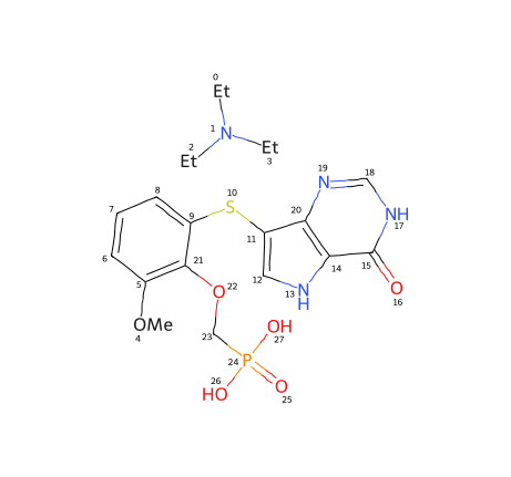 CCN(CC)CC.COc1cccc(Sc2c[nH]c3c(=O)[nH]cnc23)c1OCP(=O)(O)O